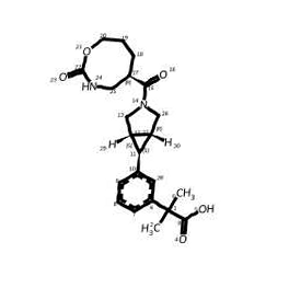 CC(C)(C(=O)O)c1cccc([C@H]2[C@@H]3CN(C(=O)[C@@H]4CCCOC(=O)NC4)C[C@@H]32)c1